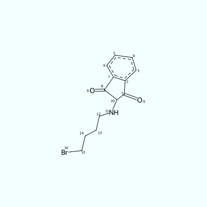 O=C1c2ccccc2C(=O)C1NCCCCBr